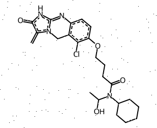 C=c1c(=O)[nH]c2n1Cc1c(ccc(OCCCC(=O)N(C(C)O)C3CCCCC3)c1Cl)N=2